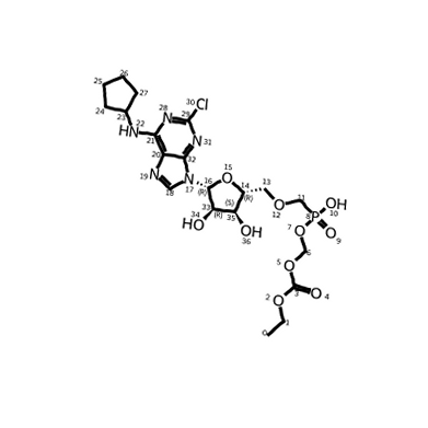 CCOC(=O)OCOP(=O)(O)COC[C@H]1O[C@@H](n2cnc3c(NC4CCCC4)nc(Cl)nc32)[C@H](O)[C@@H]1O